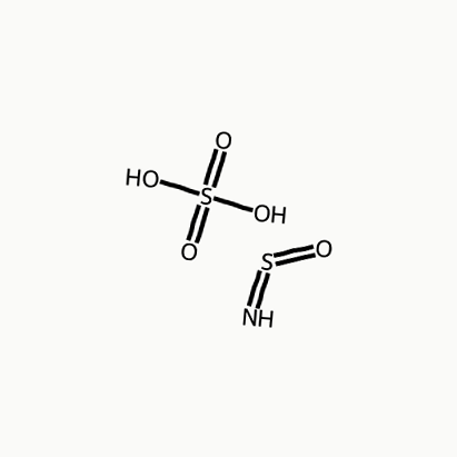 N=S=O.O=S(=O)(O)O